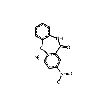 O=C1Nc2ccccc2Oc2ccc([N+](=O)[O-])cc21.[N]